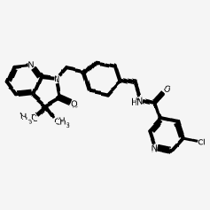 CC1(C)C(=O)N(CC2CCC(CNC(=O)c3cncc(Cl)c3)CC2)c2ncccc21